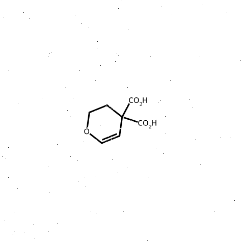 O=C(O)C1(C(=O)O)C=COCC1